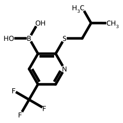 CC(C)CSc1ncc(C(F)(F)F)cc1B(O)O